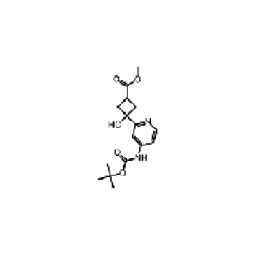 COC(=O)C1CC(O)(c2cc(NC(=O)OC(C)(C)C)ccn2)C1